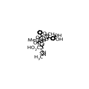 CO[C@@]1(NC(=O)C(NC(=O)N(C)C(=O)c2ccc(O)c(O)c2)c2ccccc2)C(=O)N2C(C(=O)O)=C(CSc3nnc(C)s3)CS[C@H]21